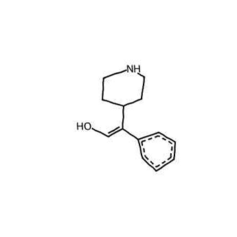 OC=C(c1ccccc1)C1CCNCC1